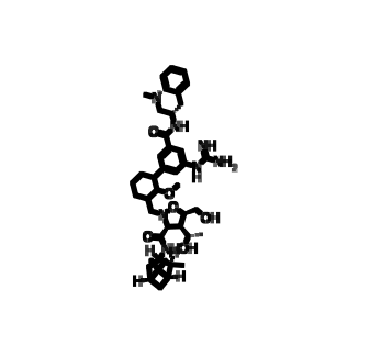 COC1C(CN2O[C@@H](CO)[C@@H]([C@H](C)O)[C@H]2C(=O)N[C@H]2C[C@H]3C[C@@H]([C@@H]2C)C3(C)C)CCCC1c1cc(NC(=N)N)cc(C(=O)N[C@@H](Cc2ccccc2)CN(C)C)c1